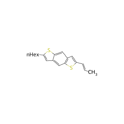 CC=Cc1cc2cc3sc(CCCCCC)cc3cc2s1